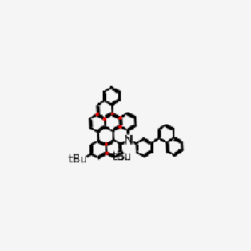 CC(C)(C)c1cc(-c2cccc3cccc(-c4ccccc4N(c4cccc(-c5cccc6ccccc56)c4)c4cccc(-c5cccc6ccccc56)c4)c23)cc(C(C)(C)C)c1